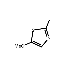 COc1cnc(I)s1